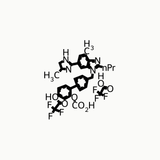 CCCc1nc2c(C)cc(C3=NC(C)CN3)cc2n1Cc1ccc(-c2ccccc2OC(=O)O)cc1.O=C(O)C(F)(F)F.O=C(O)C(F)(F)F